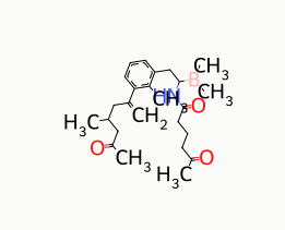 C=C(CC(C)CC(C)=O)c1cccc(CC(NC(=O)CCCC(C)=O)B(C)C)c1C